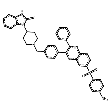 Nc1ccc(S(=O)(=O)c2ccc3nc(-c4ccccc4)c(-c4ccc(CN5CCC(n6c(=O)[nH]c7ccccc76)CC5)cc4)nc3c2)cc1